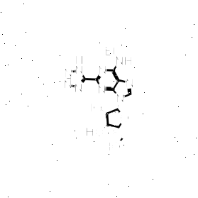 CCNc1nc(-c2nnn[nH]2)nc2c1ncn2[C@@H]1O[C@H](CO)[C@H](O)[C@@H]1O